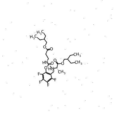 CCC(CC)COC(=O)CCNP(=O)(N[C@@H](C)C(=O)OCC(CC)CC)Oc1c(F)c(F)c(F)c(F)c1F